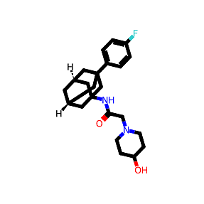 O=C(CN1CCC(O)CC1)NC12C[C@H]3C[C@@H](C1)CC(c1ccc(F)cc1)(C3)C2